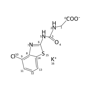 O=C([O-])CNC(=O)Nc1nc2c(Cl)cccc2s1.[K+]